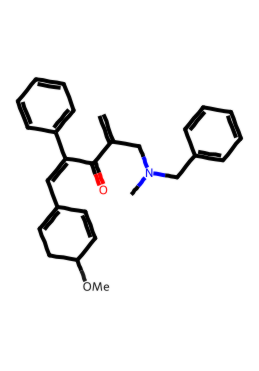 C=C(CN(C)Cc1ccccc1)C(=O)/C(=C\C1=CCC(OC)C=C1)c1ccccc1